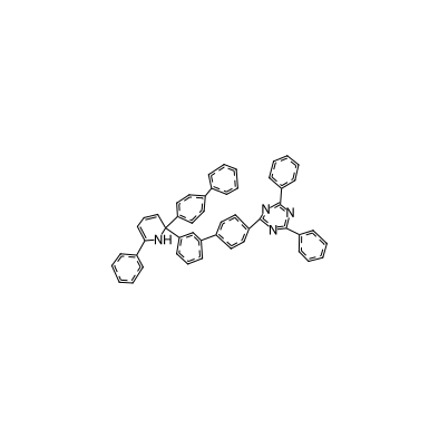 C1=CC(c2ccc(-c3ccccc3)cc2)(c2cccc(-c3ccc(-c4nc(-c5ccccc5)nc(-c5ccccc5)n4)cc3)c2)NC(c2ccccc2)=C1